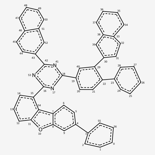 c1ccc(-c2ccc3c(c2)oc2cccc(-c4nc(-c5ccc(-c6ccccc6)c(-c6ccc7ccccc7c6)c5)nc(-c5ccc6ccccc6c5)n4)c23)cc1